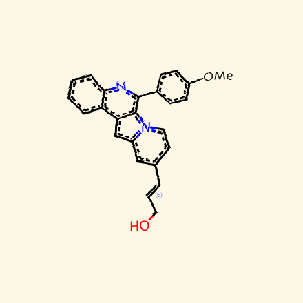 COc1ccc(-c2nc3ccccc3c3cc4cc(/C=C/CO)ccn4c23)cc1